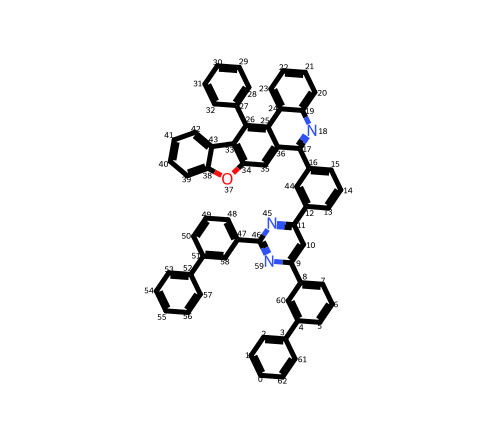 c1ccc(-c2cccc(-c3cc(-c4cccc(-c5nc6ccccc6c6c(-c7ccccc7)c7c(cc56)oc5ccccc57)c4)nc(-c4cccc(-c5ccccc5)c4)n3)c2)cc1